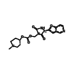 CN1CCC(OC(=O)OCN2C(=O)N[C@@H](c3cc4cnccc4o3)C2=O)CC1